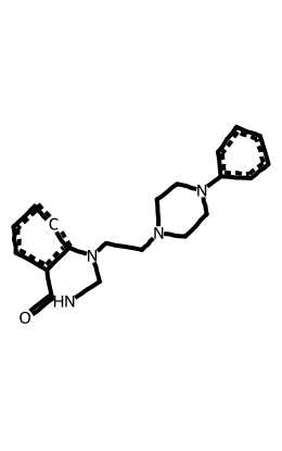 O=C1NCN(CCN2CCN(c3ccccc3)CC2)c2ccccc21